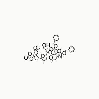 CC[C@H]1OC(=O)O[C@@]1(C)[C@@H]1OC(=O)[C@H](C)[C@@H](O)[C@H](C)[C@@H](O[C@@H]2OC(C)CC(N(C)C(=O)OCc3ccccc3)C2OC(=O)OCc2ccccc2)[C@@]2(C)CC(C)C(O2)[C@@H]1C